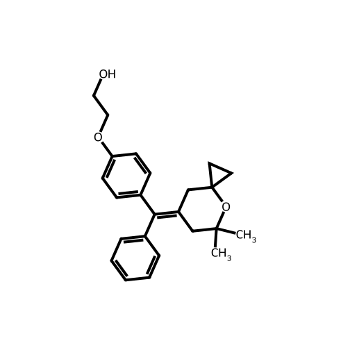 CC1(C)C/C(=C(\c2ccccc2)c2ccc(OCCO)cc2)CC2(CC2)O1